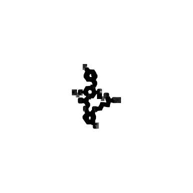 C[C@@H]1CN(Cc2ccc(F)cc2)[C@@H](C)CN1C(=O)COc1ccc(Cl)cc1OCCCC(=O)O